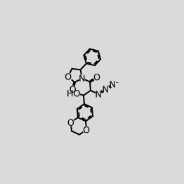 [N-]=[N+]=NC(C(=O)N1C(=O)OCC1c1ccccc1)C(O)c1ccc2c(c1)OCCO2